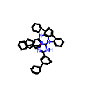 c1ccc(C2=NC(n3c4ccccc4c4ccc5c6ccccc6n(-c6cccc(-c7ccccc7)c6)c5c43)NC(c3cccc(-c4ccccc4)c3)=N2)cc1